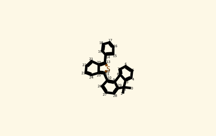 CC1(C)c2ccccc2-c2c(-c3sc(-c4ccccc4)c4ccccc34)cccc21